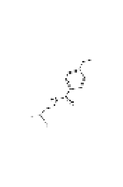 CCc1ccc(C(=O)NCCC(C)I)cc1